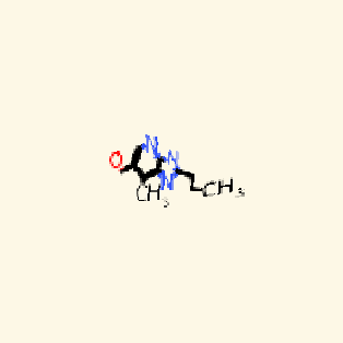 CCCC1=NC2=NC=C(C=O)C(C)C2=N1